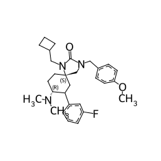 COc1ccc(CN2C[C@@]3(CC[C@@H](N(C)C)C(c4cccc(F)c4)C3)N(CC3CCC3)C2=O)cc1